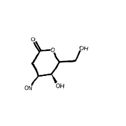 O=NC1CC(=O)OC(CO)[C@H]1O